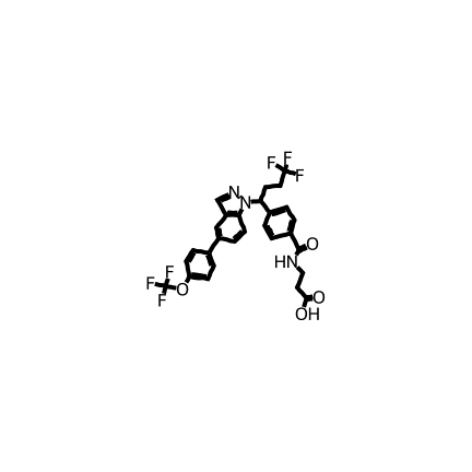 O=C(O)CCNC(=O)c1ccc(C(CCC(F)(F)F)n2ncc3cc(-c4ccc(OC(F)(F)F)cc4)ccc32)cc1